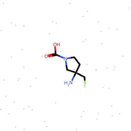 NC1(CF)CCN(C(=O)O)C1